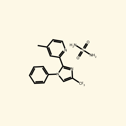 Cc1ccnc(-c2nc(C(F)(F)F)cn2-c2ccccc2)c1.NS(N)(=O)=O